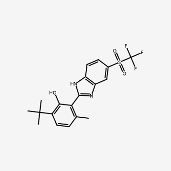 Cc1ccc(C(C)(C)C)c(O)c1-c1nc2cc(S(=O)(=O)C(F)(F)F)ccc2[nH]1